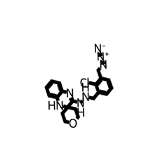 [N-]=[N+]=NCc1cccc(CNNC2=Nc3ccccc3NC23CCOCC3)c1Cl